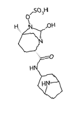 O=C(NC1CC2CCC(C1)N2)[C@@H]1CC[C@@H]2CN1C(O)N2OS(=O)(=O)O